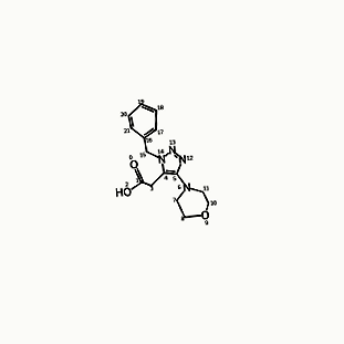 O=C(O)Cc1c(N2CCOCC2)nnn1Cc1ccccc1